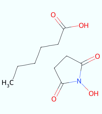 CCCCCC(=O)O.O=C1CCC(=O)N1O